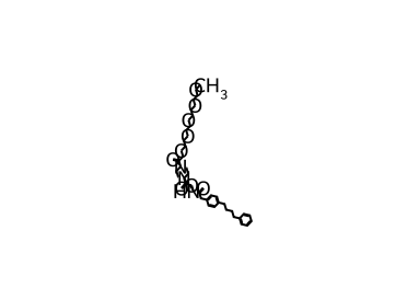 COCCOCCOCCOCCOCC(=O)N1CCN(C(=O)ONC(=O)Cc2ccc(CCCCc3ccccc3)cc2)CC1